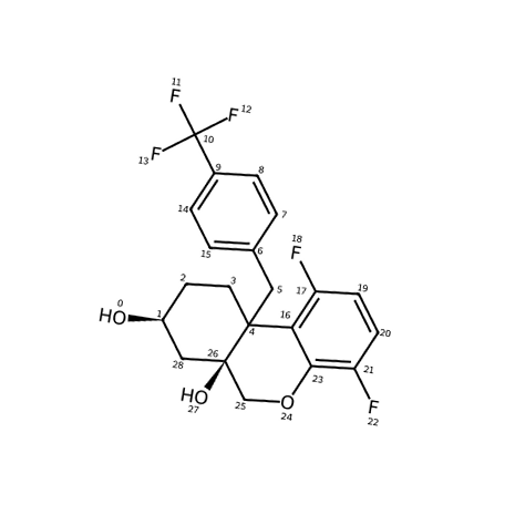 O[C@H]1CCC2(Cc3ccc(C(F)(F)F)cc3)c3c(F)ccc(F)c3OC[C@]2(O)C1